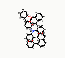 c1ccc(-c2cccc3cccc(-c4ccccc4N(c4ccc5c(c4)oc4ccccc45)c4ccccc4-c4cccc5ccccc45)c23)cc1